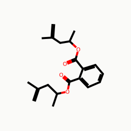 C=C(C)CC(C)OC(=O)c1ccccc1C(=O)OC(C)CC(=C)C